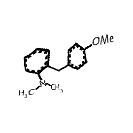 COc1ccc(Cc2ccccc2N(C)C)cc1